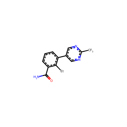 CCc1c(C(N)=O)cccc1-c1cnc(C(F)(F)F)nc1